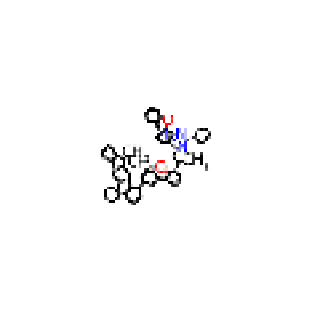 CC(CC(/N=C(\N)C1=CC=CCC1)c1ccc2c(c1)oc1ccccc12)c1cccc2c1oc1ccc(-c3cccc4c3-c3cc5c(cc3C43CCCCC3)-c3ccccc3C5(C)C)cc12